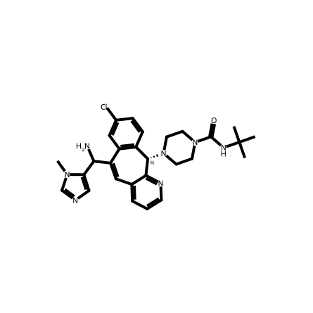 Cn1cncc1C(N)C1=Cc2cccnc2[C@@H](N2CCN(C(=O)NC(C)(C)C)CC2)c2ccc(Cl)cc21